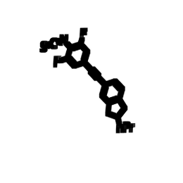 CCCC1Cc2ccc(C#Cc3cc(F)c(N=C=S)c(F)c3)cc2C1